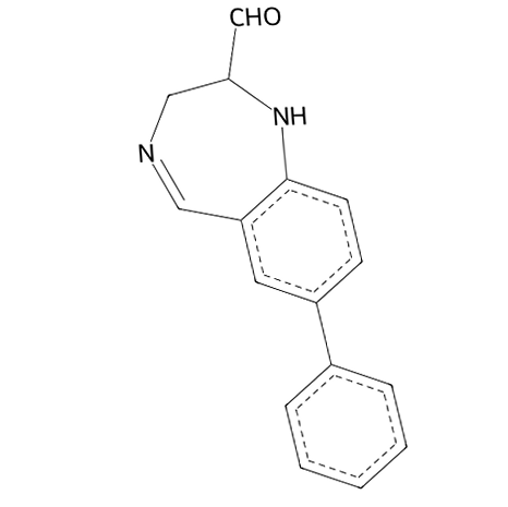 O=CC1CN=Cc2cc(-c3ccccc3)ccc2N1